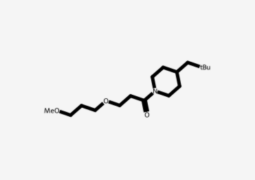 COCCCOCCC(=O)N1CCC(CC(C)(C)C)CC1